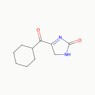 O=C1N=C(C(=O)C2CCCCC2)CN1